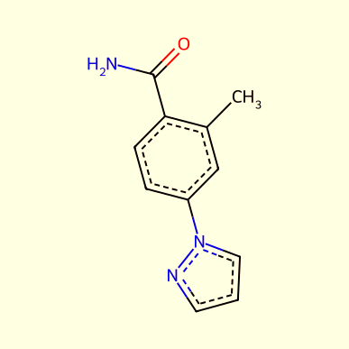 Cc1cc(-n2cccn2)ccc1C(N)=O